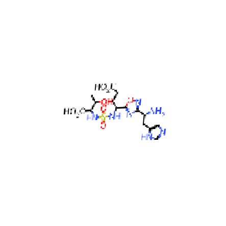 CC(O)C(NS(=O)(=O)N[C@@H](CCC(=O)O)c1nc([C@@H](N)Cc2cnc[nH]2)no1)C(=O)O